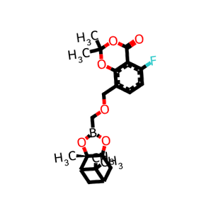 CC1(C)OC(=O)c2c(F)ccc(COCB3OC4CC5CC(C5(C)C)[C@]4(C)O3)c2O1